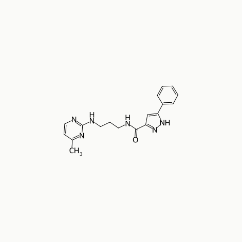 Cc1ccnc(NCCCNC(=O)c2cc(-c3ccccc3)[nH]n2)n1